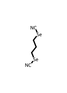 N#C[Se]CCC[Se]C#N